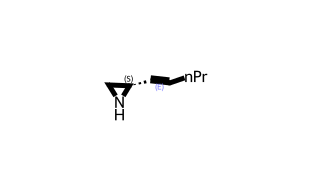 CCC/C=C/[C@H]1CN1